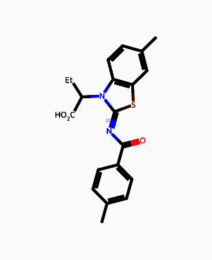 CCC(C(=O)O)n1/c(=N/C(=O)c2ccc(C)cc2)sc2cc(C)ccc21